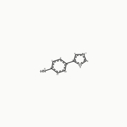 [NH]c1ccc(-c2cnco2)cc1